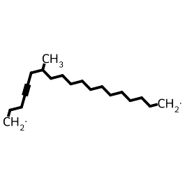 [CH2]CCC#CCC(C)CCCCCCCCCCC[CH2]